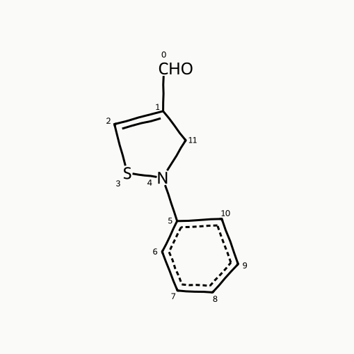 O=CC1=CSN(c2ccccc2)C1